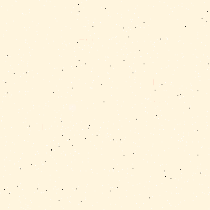 C=CC1C(O/C(=C(/C)CC)c2cc(O)c(C)c(O)c2)=CC(O)=CC1C